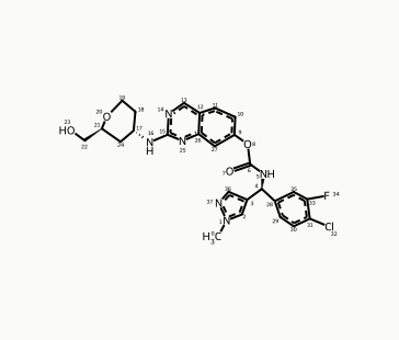 Cn1cc([C@@H](NC(=O)Oc2ccc3cnc(N[C@H]4CCO[C@H](CO)C4)nc3c2)c2ccc(Cl)c(F)c2)cn1